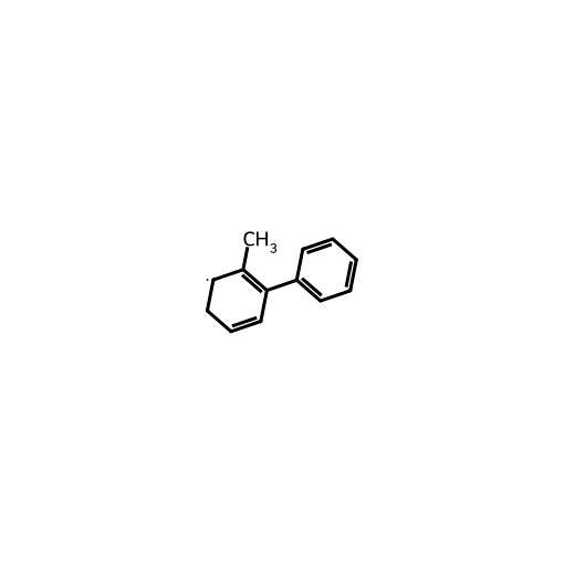 CC1=C(c2ccccc2)C=CC[CH]1